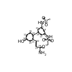 CS(=O)(=O)Nc1cc(NS(C)(=O)=O)cc(-c2ccc(O)cc2/C=C/C(N)=O)c1